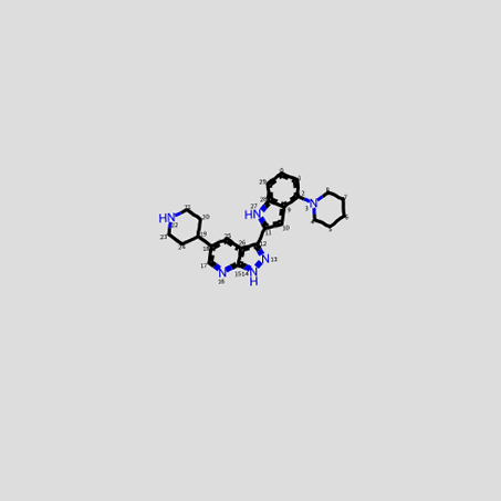 c1cc(N2CCCCC2)c2cc(-c3n[nH]c4ncc(C5CCNCC5)cc34)[nH]c2c1